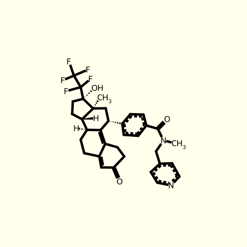 CN(Cc1ccncc1)C(=O)c1ccc([C@H]2C[C@@]3(C)[C@@H](CC[C@@]3(O)C(F)(F)C(F)(F)F)[C@@H]3CCC4=CC(=O)CCC4=C32)cc1